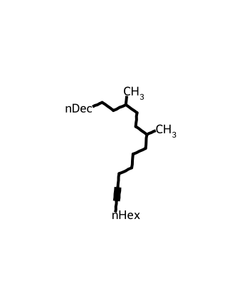 [CH2]CCCCCC#CCCCCC(C)CCC(C)CCCCCCCCCCC[CH2]